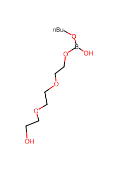 CCCCOB(O)OCCOCCOCCO